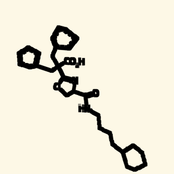 O=C(NCCCCC1CCCCC1)C1COC(C(Cc2ccccc2)(Cc2ccccc2)C(=O)O)=N1